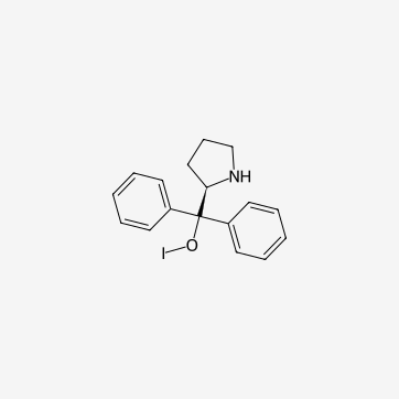 IOC(c1ccccc1)(c1ccccc1)[C@H]1CCCN1